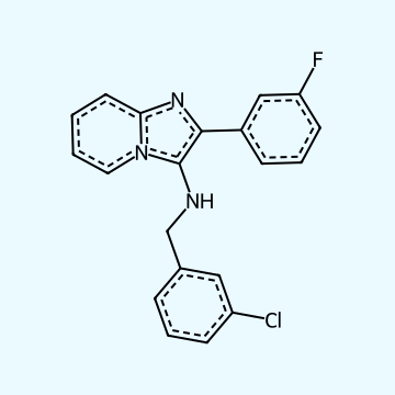 Fc1cccc(-c2nc3ccccn3c2NCc2cccc(Cl)c2)c1